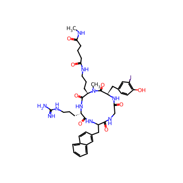 CNC(=O)CCCC(=O)NCCC[C@@H]1C(=O)N[C@@H](CCCNC(=N)N)C(=O)NC(Cc2ccc3ccccc3c2)C(=O)NCC(=O)N[C@H](Cc2ccc(O)c(I)c2)C(=O)N1C